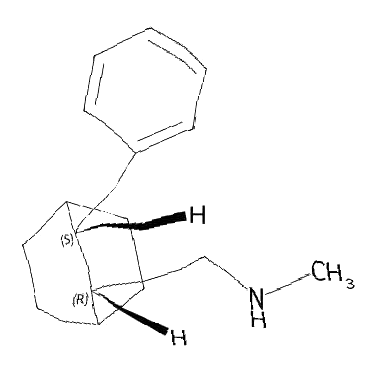 CNC[C@@H]1C2CCC(CC2)[C@@H]1c1ccccc1